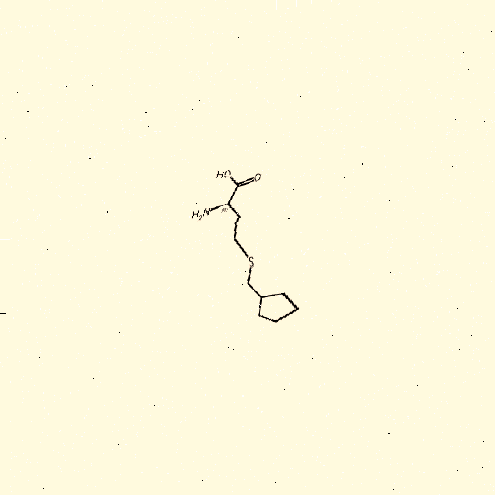 N[C@H](CCSCC1CCCC1)C(=O)O